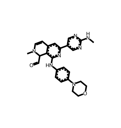 CNc1ncc(-c2cc3c(c(Nc4ccc(N5CCOCC5)cc4)n2)C(C=O)N(C)C=C3)cn1